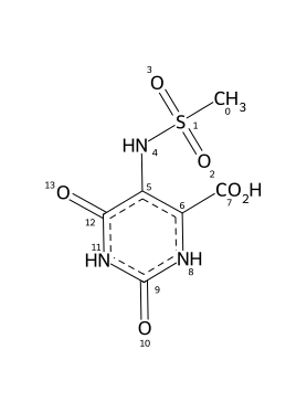 CS(=O)(=O)Nc1c(C(=O)O)[nH]c(=O)[nH]c1=O